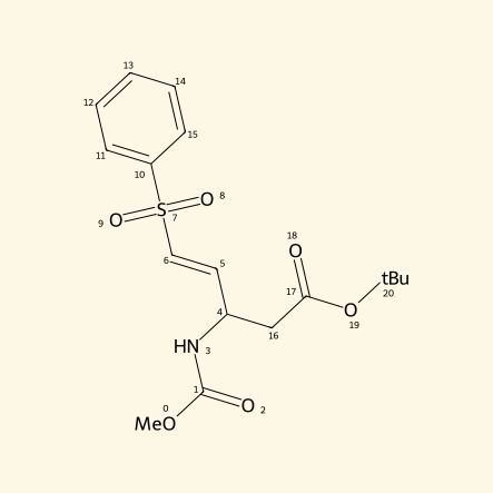 COC(=O)NC(/C=C/S(=O)(=O)c1ccccc1)CC(=O)OC(C)(C)C